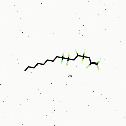 CCCCCCCCC(F)(F)C(F)(F)CC(F)C(F)(F)CC(F)=C(F)F.[Zn]